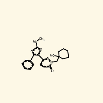 CNc1nc(-c2ccccc2)c(-c2ccc(=O)n(CC3(O)CCCCC3)n2)s1